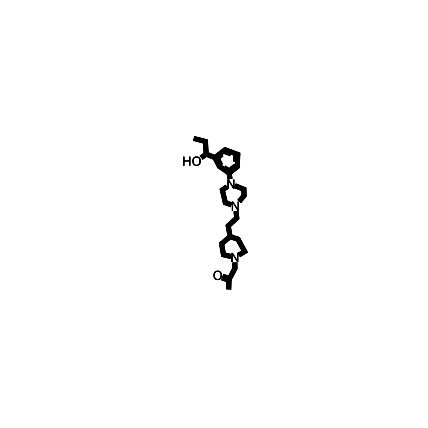 CCC(O)c1cccc(N2CCN(CCC3CCN(CC(C)=O)CC3)CC2)c1